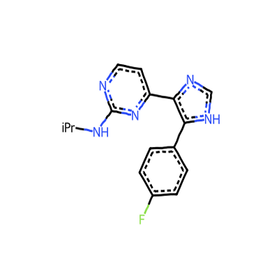 CC(C)Nc1nccc(-c2nc[nH]c2-c2ccc(F)cc2)n1